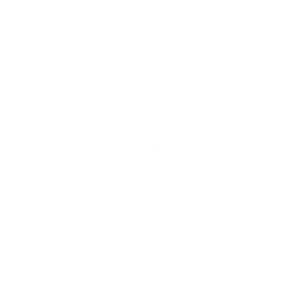 CCCOC(=O)OCCC.OCCO